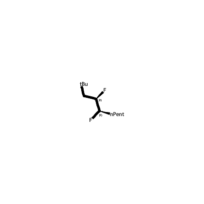 CCCCC[C@@H](F)[C@H](F)CC(C)(C)C